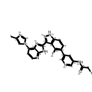 Cc1cn(-c2ccnc3[nH]c(-c4n[nH]c5ccc(-c6cncc(NC(=O)CC(C)(C)C)c6)c(F)c45)nc23)cn1